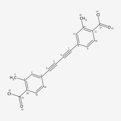 Cc1cc(C#CC#Cc2ccc(C(=O)Cl)c(C)c2)ccc1C(=O)Cl